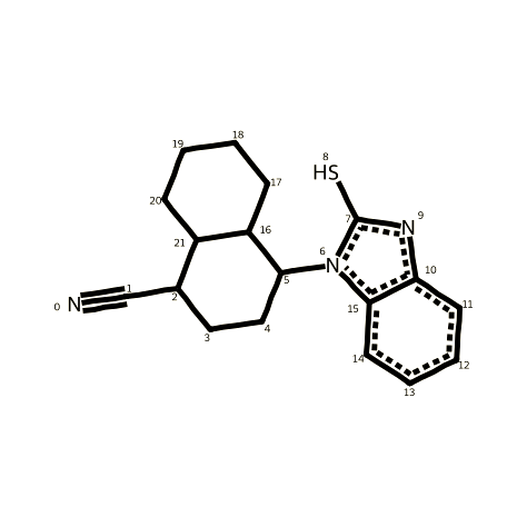 N#CC1CCC(n2c(S)nc3ccccc32)C2CCCCC12